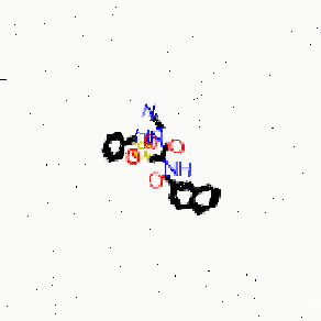 N#CCNC(=O)C(CS(=O)(=O)Cc1ccccc1)NC(=O)c1ccc2ccccc2c1